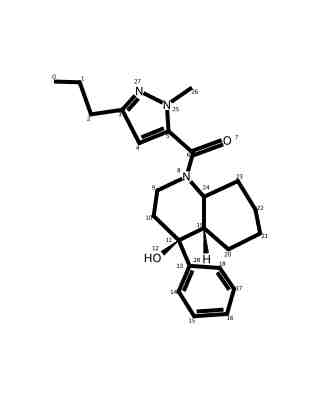 CCCc1cc(C(=O)N2CC[C@@](O)(c3ccccc3)[C@H]3CCCCC32)n(C)n1